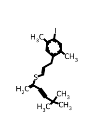 C=C(C#CC(C)(C)C)S/C=C/Cc1cc(C)c(I)cc1C